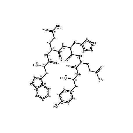 NC(=O)CC[C@H](NC(=O)[C@H](Cc1c[nH]cn1)NC(=O)[C@H](CCC(N)=O)NC(=O)[C@@H](N)Cc1c[nH]c2ccccc12)C(=O)N[C@@H](Cc1ccc(O)cc1)C(=O)O